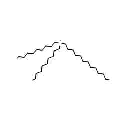 CCCCCCCCCCCCC[N+](C)(CCCCCCCCCC)CCCCCCCCCC.[Cl-]